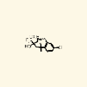 CSc1cc(Cl)ccc1C(C)(C)CC(O)(CC(=O)O)C(F)(F)F